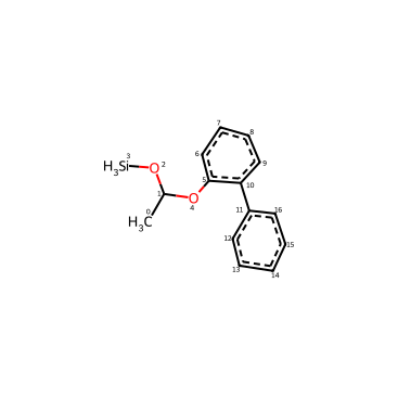 CC(O[SiH3])Oc1ccccc1-c1ccccc1